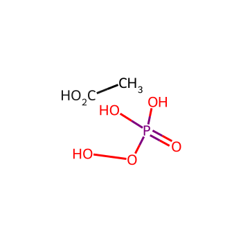 CC(=O)O.O=P(O)(O)OO